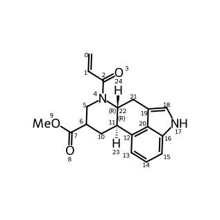 C=CC(=O)N1CC(C(=O)OC)C[C@@H]2c3cccc4[nH]cc(c34)C[C@H]21